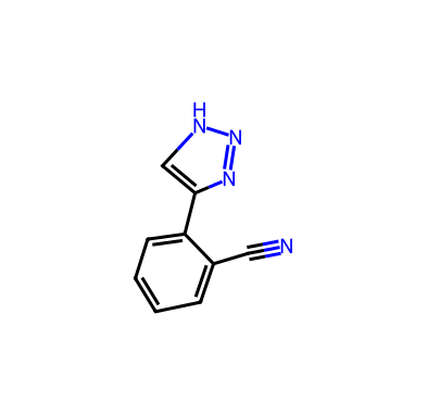 N#Cc1ccccc1-c1c[nH]nn1